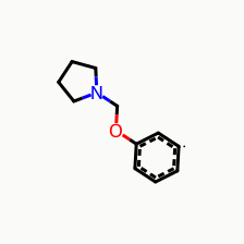 [c]1cccc(OCN2CCCC2)c1